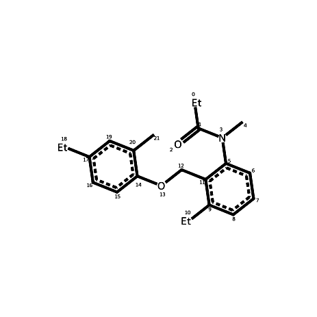 CCC(=O)N(C)c1cccc(CC)c1COc1ccc(CC)cc1C